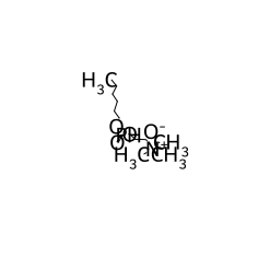 CCCCCCO[PH](=O)OCC([O-])[N+](C)(C)C